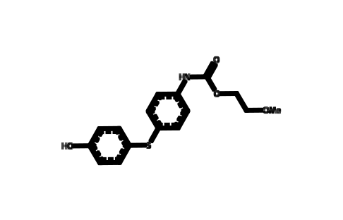 COCCOC(=O)Nc1ccc(Sc2ccc(O)cc2)cc1